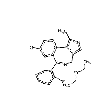 CCOCC.Cc1ncc2n1-c1ccc(Cl)cc1C(c1ccccc1F)=NC2